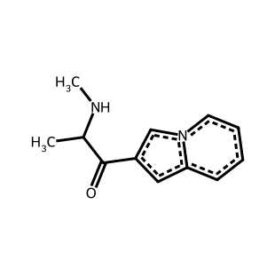 CNC(C)C(=O)c1cc2ccccn2c1